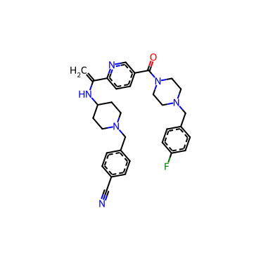 C=C(NC1CCN(Cc2ccc(C#N)cc2)CC1)c1ccc(C(=O)N2CCN(Cc3ccc(F)cc3)CC2)cn1